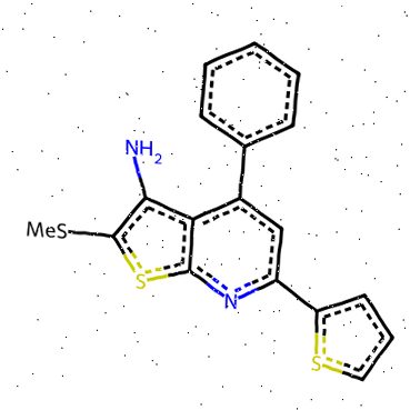 CSc1sc2nc(-c3cccs3)cc(-c3ccccc3)c2c1N